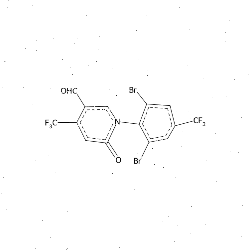 O=Cc1cn(-c2c(Br)cc(C(F)(F)F)cc2Br)c(=O)cc1C(F)(F)F